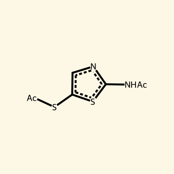 CC(=O)Nc1ncc(SC(C)=O)s1